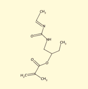 C=C(C)C(=O)OC(CC)CNC(=O)N=CC